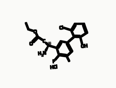 CCOC(=O)C[C@H](N)c1cc(-c2c(O)cccc2Cl)cc(C)c1F.Cl